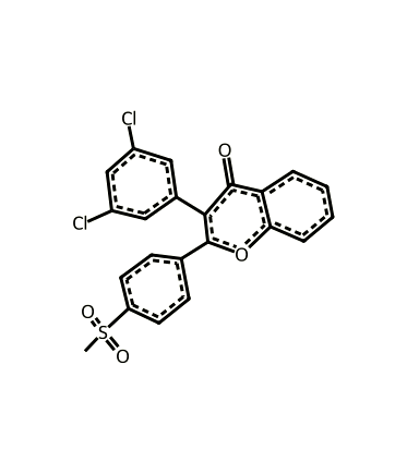 CS(=O)(=O)c1ccc(-c2oc3ccccc3c(=O)c2-c2cc(Cl)cc(Cl)c2)cc1